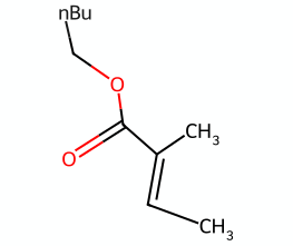 C/C=C(\C)C(=O)OCCCCC